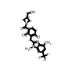 Cc1cc(C(F)(F)F)cc2c1nc(Cc1c(Cl)ccc(C(=O)N3CC(CO)C3)c1Cl)n2C